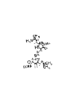 COC(=O)[C@H](CCSSCC[C@@H](NC(=O)CCN(C)C)C(=O)OC)NC(=O)CCN(C)C